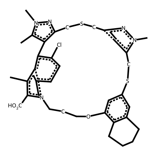 Cc1c(C(=O)O)n2c3ccc(Cl)c(c13)-c1c(nn(C)c1C)CSCc1cc(n(C)n1)CSc1cc3c(c(c1)OCCC2)CCCC3